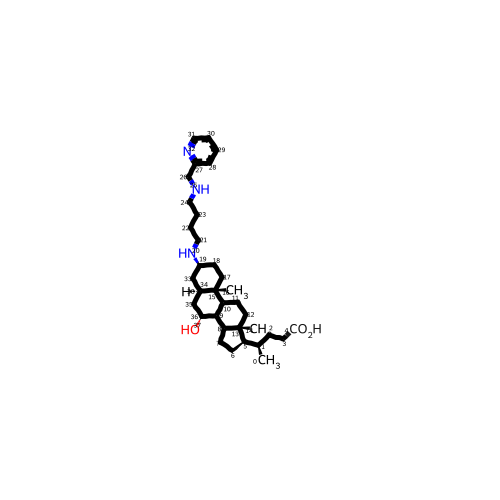 C[C@H](CCC(=O)O)[C@H]1CCC2C3C(CC[C@@]21C)[C@@]1(C)CC[C@H](NCCCCNCc2ccccn2)C[C@@H]1C[C@H]3O